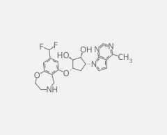 Cc1ncnc2c1ccn2[C@@H]1C[C@H](Oc2cc(C(F)F)cc3c2CNCCO3)[C@@H](O)[C@H]1O